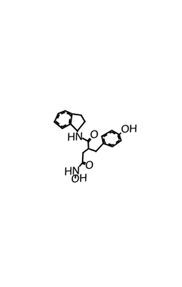 O=C(CC(Cc1ccc(O)cc1)C(=O)N[C@H]1CCc2ccccc21)NO